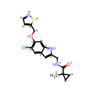 CC1(C(=O)NCc2cc3cc(Cl)c(OCc4ccns4)cc3[nH]2)CC1